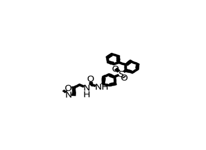 O=C(NCc1cnco1)Nc1ccc(S(=O)(=O)c2ccccc2-c2ccccc2)cc1